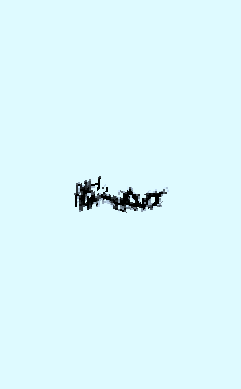 CC1CCN(Cc2cccc(OCCCNc3nnc(N)s3)c2)CC1